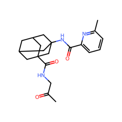 CC(=O)CNC(=O)C12CC3CC(CC(NC(=O)c4cccc(C)n4)(C3)C1)C2